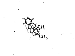 CC(=O)OP(C)(C)(C)Cc1ccccc1